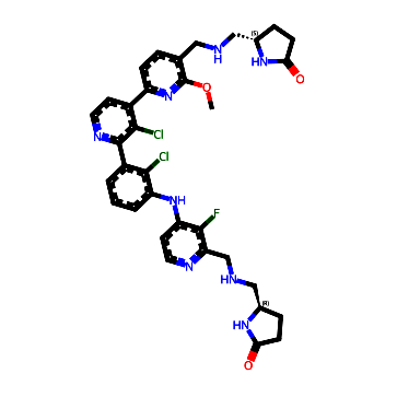 COc1nc(-c2ccnc(-c3cccc(Nc4ccnc(CNC[C@H]5CCC(=O)N5)c4F)c3Cl)c2Cl)ccc1CNC[C@@H]1CCC(=O)N1